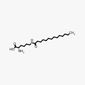 CCCCCCCCCCCCCC(=O)NCCCC[C@H](N)C(=O)O